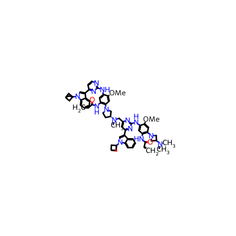 C=CC(=O)Nc1cc(Nc2nc(CN(C)[C@@H]3CCN(c4cc(OC)c(Nc5nccc(-c6cn(C78CC(C7)C8)c7ccccc67)n5)cc4NC(=O)C=C)C3)cc(-c3cn(C45CC(C4)C5)c4ccccc34)n2)c(OC)cc1N1CC(N(C)C)C1